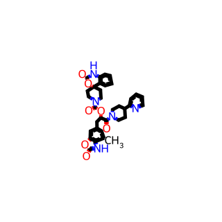 Cc1cc(CC(OC(=O)N2CCC3(CC2)OC(=O)Nc2ccccc23)C(=O)N2CCC(c3ccccn3)CC2)cc2oc(=O)[nH]c12